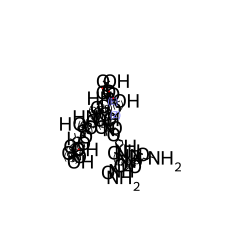 CCN(C(=O)OCc1ccc(NC(=O)[C@H](CCCNC(N)=O)NC(=O)[C@@H](NC(=O)[C@H](CCCCN)NC(C)=O)C(C)C)cc1)[C@H]1CO[C@@H](O[C@H]2[C@H](O[C@H]3C#C/C=C\C#C[C@]4(O)CC(=O)C(NC(=O)OC)=C3/C4=C\CSSC(C)(C)C(=O)O)O[C@H](C)[C@@H](NO[C@H]3C[C@H](O)[C@H](SC(=O)c4c(C)c(I)c(O[C@@H]5O[C@@H](C)[C@H](O)[C@@H](OC)[C@H]5O)c(OC)c4OC)[C@@H](C)O3)[C@@H]2O)C[C@@H]1OC